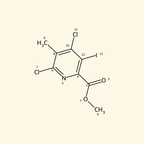 COC(=O)c1nc(Cl)c(C)c(Cl)c1I